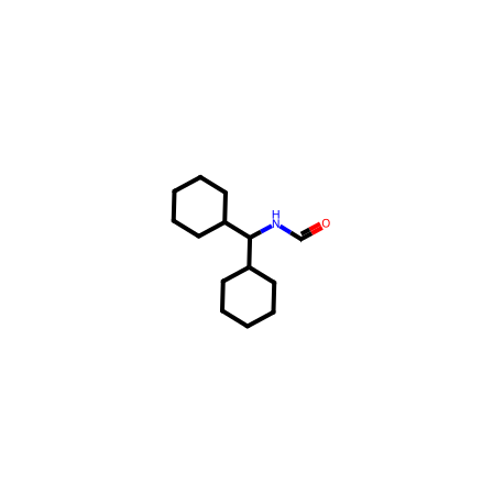 O=[C]NC(C1CCCCC1)C1CCCCC1